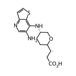 Nc1cnc2ccsc2c1N[C@H]1CCC([CH]CC(=O)O)OC1